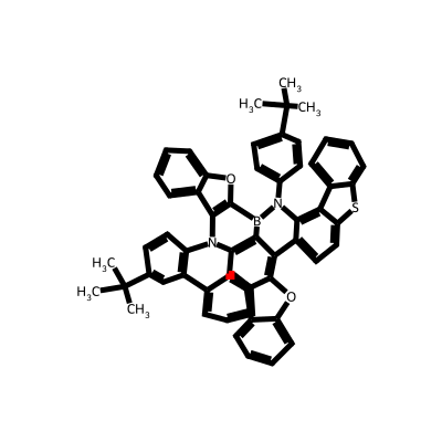 CC(C)(C)c1ccc(N2B3c4oc5ccccc5c4N(c4ccc(C(C)(C)C)cc4-c4ccccc4)c4cc5c(oc6ccccc65)c(c43)-c3ccc4sc5ccccc5c4c32)cc1